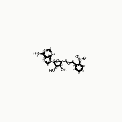 Nc1ncnc2c1ncn2[C@@H]1O[C@H](COCc2ccccc2[N+](=O)[O-])[C@@H](O)[C@H]1O